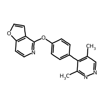 Cc1cnnc(C)c1-c1ccc(Oc2nccc3occc23)cc1